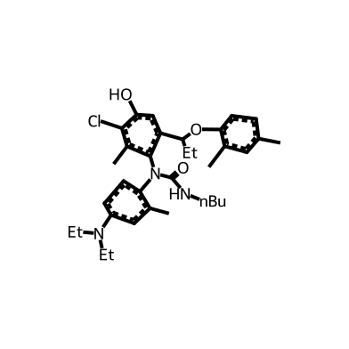 CCCCNC(=O)N(c1ccc(N(CC)CC)cc1C)c1c(C(CC)Oc2ccc(C)cc2C)cc(O)c(Cl)c1C